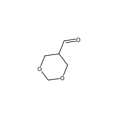 O=CC1COCOC1